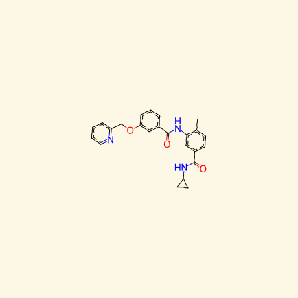 Cc1ccc(C(=O)NC2CC2)cc1NC(=O)c1cccc(OCc2ccccn2)c1